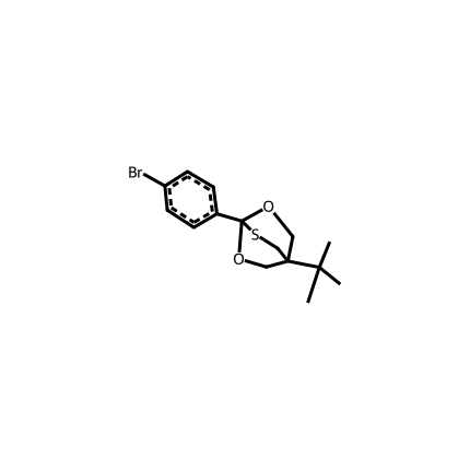 CC(C)(C)C12COC(c3ccc(Br)cc3)(OC1)SC2